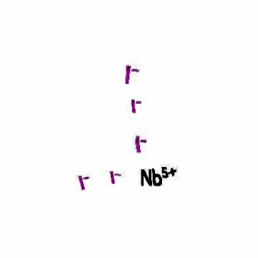 [I-].[I-].[I-].[I-].[I-].[Nb+5]